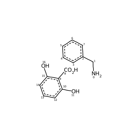 NCc1ccccc1.O=C(O)c1c(O)cccc1O